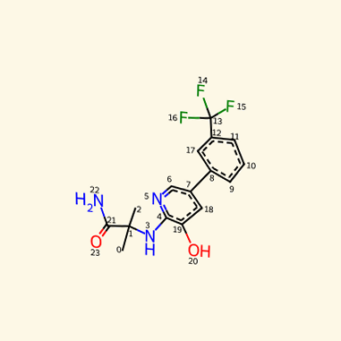 CC(C)(Nc1ncc(-c2cccc(C(F)(F)F)c2)cc1O)C(N)=O